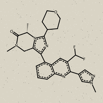 C[C@H]1C(=O)N(C)Cc2c(-c3cccc4nc(-c5cnn(C)c5)c(C(F)F)cc34)nc(C3CCOCC3)n21